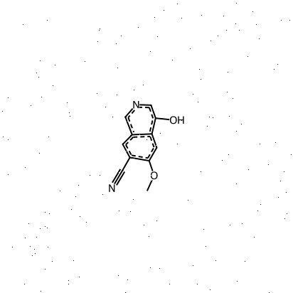 COc1cc2c(O)cncc2cc1C#N